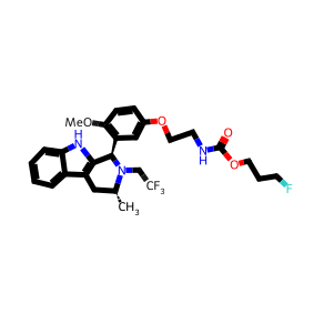 COc1ccc(OCCNC(=O)OCCCF)cc1[C@@H]1c2[nH]c3ccccc3c2C[C@@H](C)N1CC(F)(F)F